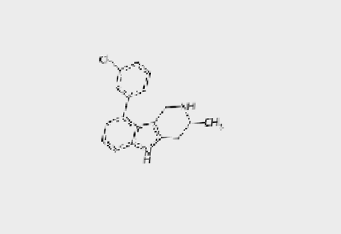 CC1Cc2[nH]c3cccc(-c4cccc(Cl)c4)c3c2CN1